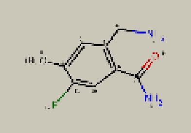 CC(C)COc1cc(CN)c(C(N)=O)cc1F